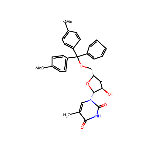 COc1ccc(C(OC[C@@H]2[CH][C@@H](O)[C@H](n3cc(C)c(=O)[nH]c3=O)O2)(c2ccccc2)c2ccc(OC)cc2)cc1